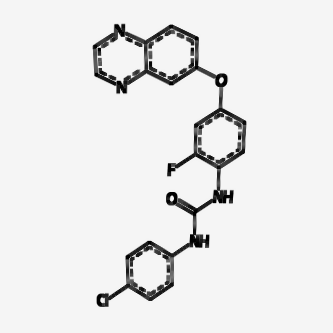 O=C(Nc1ccc(Cl)cc1)Nc1ccc(Oc2ccc3nccnc3c2)cc1F